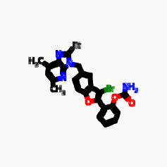 CCc1nc2c(C)cc(C)nc2n1Cc1ccc2oc(-c3ccccc3OC(N)=O)c(Br)c2c1